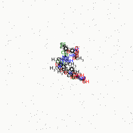 CC1COc2ccccc2N1C(=O)C(Cl)Cl.CCNc1nc(Cl)nc(NC(C)C)n1.CCc1cccc(C)c1N(C(=O)CCl)C(C)COC.CS(=O)(=O)NC(=O)c1cc(Oc2ccc(C(F)(F)F)cc2Cl)ccc1[N+](=O)[O-].O=C(O)CNCP(=O)(O)O